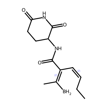 B/C(C)=C(\C=C/CC)C(=O)NC1CCC(=O)NC1=O